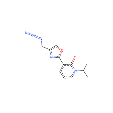 CC(C)n1cccc(-c2nc(CN=[N+]=[N-])co2)c1=O